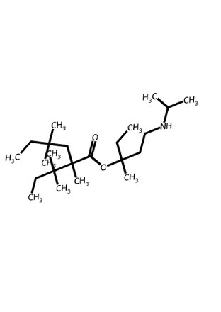 CCC(C)(C)CC(C)(C(=O)OC(C)(CC)CCNC(C)C)C(C)(C)CC